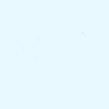 ONC(=C1CCC1)c1ccc(Nc2nc3ccccc3n2C2CCC2)cc1